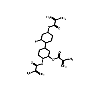 C=C(C)C(=O)OC1CCC(C2CC[C@H](OC(=O)C(=C)C)C(OC(=O)C(=C)C)C2)C(F)C1